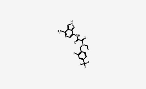 CCN(Cc1ccc(C(F)(F)F)cc1F)C(=O)C(=O)Nc1cnc(N)c2c[nH]nc12